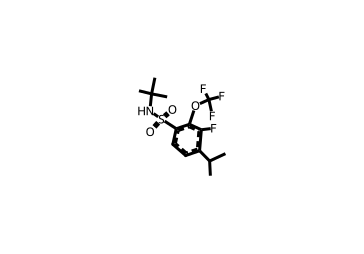 CC(C)c1ccc(S(=O)(=O)NC(C)(C)C)c(OC(F)(F)F)c1F